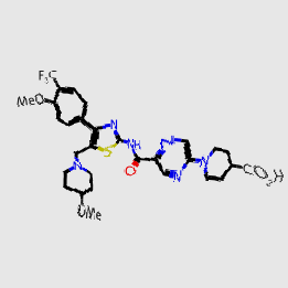 COC1=CC=C(c2nc(NC(=O)c3cnc(N4CCC(C(=O)O)CC4)cn3)sc2CN2CCC(OC)CC2)CC=C1C(F)(F)F